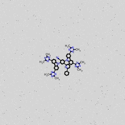 Cc1nc(C)nc(-c2ccc3c(c2)c2cc(-c4nc(C)nc(C)n4)ccc2n3-c2cc(-c3cccc(-c4ccccc4)n3)c(-n3c4ccc(-c5nc(C)nc(C)n5)cc4c4cc(-c5nc(C)nc(C)n5)ccc43)cc2C#N)n1